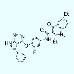 CCc1ccc2c(c1)c(=O)c(C(=O)Nc1ccc(Oc3ncnc4[nH]cc(-c5ccccc5)c34)c(F)c1)c(CC)n2C